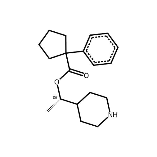 C[C@H](OC(=O)C1(c2ccccc2)CCCC1)C1CCNCC1